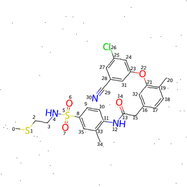 CSCCNS(=O)(=O)c1ccc(NC(=O)Cc2ccc(C)c(Oc3cc(Cl)cc(C#N)c3)c2)c(C)c1